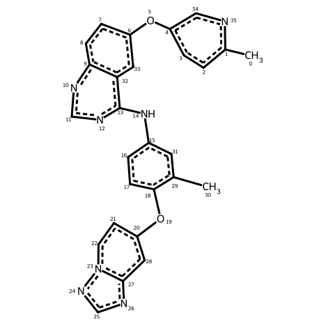 Cc1ccc(Oc2ccc3ncnc(Nc4ccc(Oc5ccn6ncnc6c5)c(C)c4)c3c2)cn1